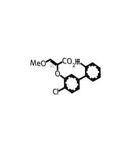 CO/C=C(\Oc1cc(-c2ccccc2F)ccc1Cl)C(=O)O